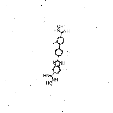 Cc1cc(C(=N)NO)ccc1-c1ccc(-c2nc3cc(C(=N)NO)ccc3[nH]2)cc1